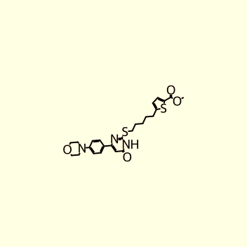 COC(=O)c1ccc(CCCCCSc2nc(-c3ccc(N4CCOCC4)cc3)cc(=O)[nH]2)s1